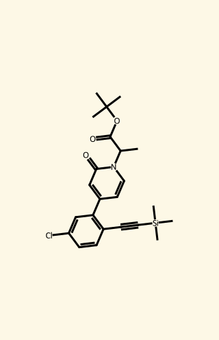 CC(C(=O)OC(C)(C)C)n1ccc(-c2cc(Cl)ccc2C#C[Si](C)(C)C)cc1=O